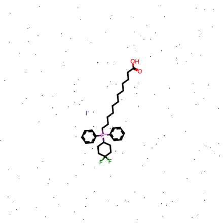 O=C(O)CCCCCCCCCCC[P+](c1ccccc1)(c1ccccc1)C1CCC(F)(F)CC1.[I-]